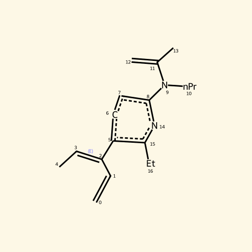 C=C/C(=C\C)c1ccc(N(CCC)C(=C)C)nc1CC